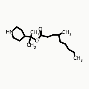 CCCCCC(C)CCC(=O)OC(C)(C)C1CCNCC1